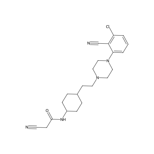 N#CCC(=O)NC1CCC(CCN2CCN(c3cccc(Cl)c3C#N)CC2)CC1